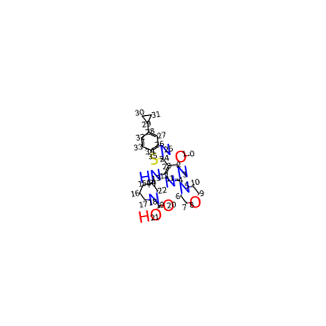 COc1nc(N2CCOCC2)nc(N[C@@H]2CCCN(C(=O)O)C2)c1-c1nc2cc(C3CC3)ccc2s1